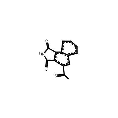 CC(=S)c1cc2ccccc2c2c1C(=O)NC2=O